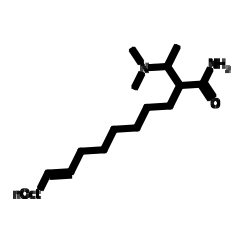 CCCCCCCCC=CCCCCCCC(C(N)=O)C(C)N(C)C